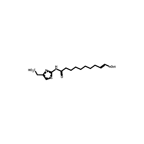 CCCCCCCC/C=C/CCCCCCCC(=O)Nc1nc(CC(=O)O)cs1